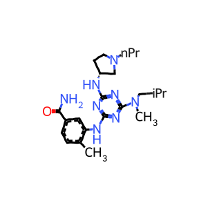 CCCN1CC[C@@H](Nc2nc(Nc3cc(C(N)=O)ccc3C)nc(N(C)CC(C)C)n2)C1